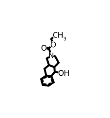 CCOC(=O)N1CCC2C(Cc3ccccc3C2O)C1